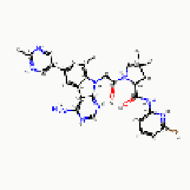 Cc1ncc(-c2cc(C)c3c(c2)c2c(N)ncnc2n3CC(=O)N2CC(C)(C)C[C@H]2C(=O)Nc2cccc(Br)n2)cn1